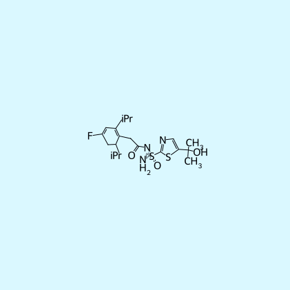 CC(C)C1=C(CC(=O)N=[S@](N)(=O)c2ncc(C(C)(C)O)s2)C(C(C)C)CC(F)=C1